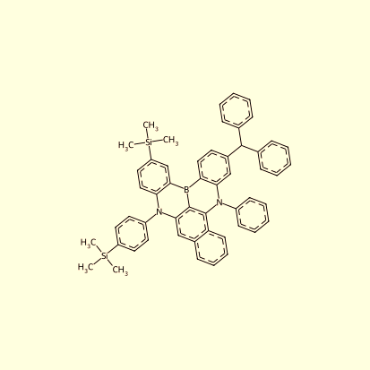 C[Si](C)(C)c1ccc(N2c3ccc([Si](C)(C)C)cc3B3c4ccc(C(c5ccccc5)c5ccccc5)cc4N(c4ccccc4)c4c3c2cc2ccccc42)cc1